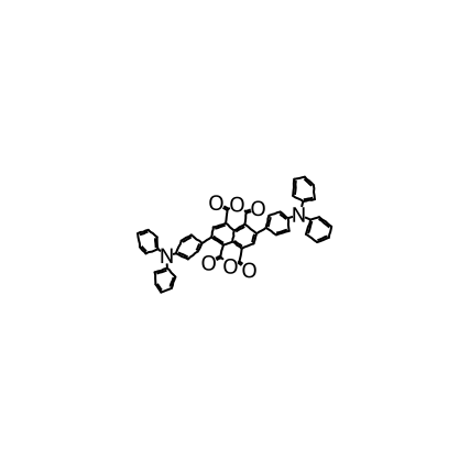 O=C1OC(=O)c2c(-c3ccc(N(c4ccccc4)c4ccccc4)cc3)cc3c4c(c(-c5ccc(N(c6ccccc6)c6ccccc6)cc5)cc1c24)C(=O)OC3=O